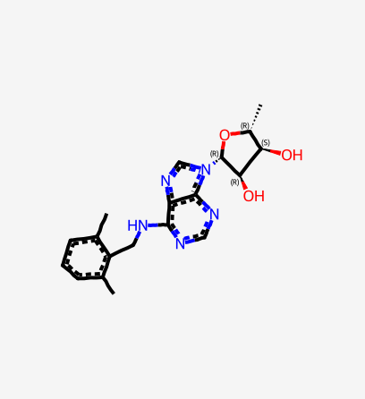 Cc1cccc(C)c1CNc1ncnc2c1ncn2[C@@H]1O[C@H](C)[C@@H](O)[C@H]1O